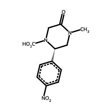 CN1C[C@H](c2ccc([N+](=O)[O-])cc2)N(C(=O)O)CC1=O